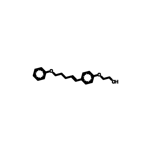 OCCOc1ccc(C=CCCCOc2ccccc2)cc1